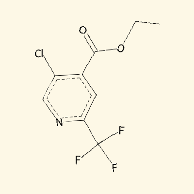 CCOC(=O)c1cc(C(F)(F)F)ncc1Cl